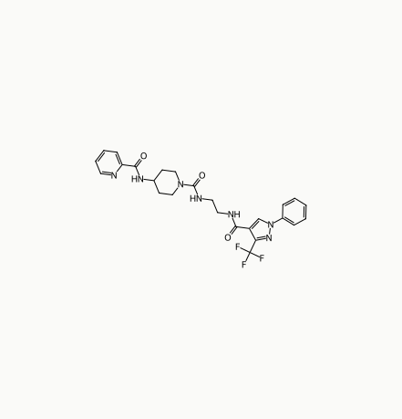 O=C(NC1CCN(C(=O)NCCNC(=O)c2cn(-c3ccccc3)nc2C(F)(F)F)CC1)c1ccccn1